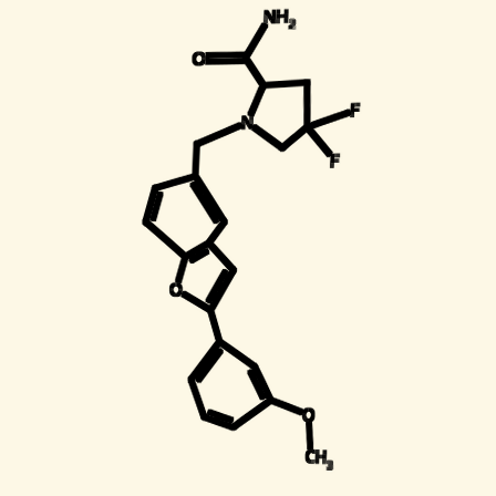 COc1cccc(-c2cc3cc(CN4CC(F)(F)CC4C(N)=O)ccc3o2)c1